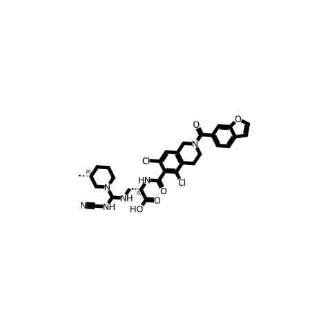 C[C@@H]1CCCN(C(NC#N)NC[C@H](NC(=O)c2c(Cl)cc3c(c2Cl)CCN(C(=O)c2ccc4ccoc4c2)C3)C(=O)O)C1